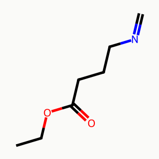 C=NCCCC(=O)OCC